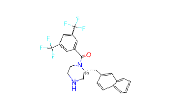 O=C(c1cc(C(F)(F)F)cc(C(F)(F)F)c1)N1CCNC[C@H]1Cc1ccc2ccccc2c1